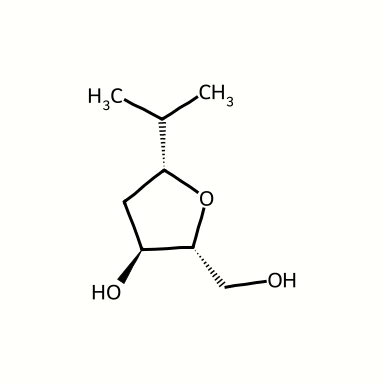 CC(C)[C@H]1C[C@H](O)[C@@H](CO)O1